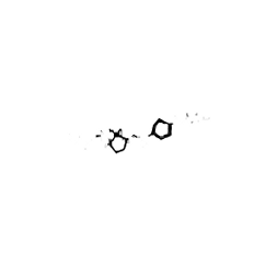 CSc1ccc(SC[C@H]2CC[C@@](C)(NC(=O)O)C2(C)C)cc1